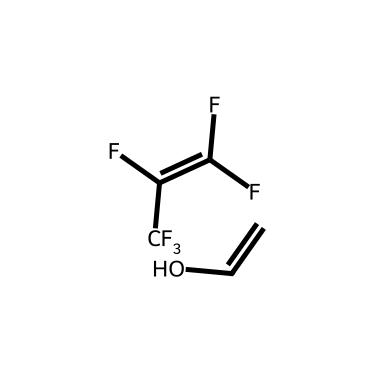 C=CO.FC(F)=C(F)C(F)(F)F